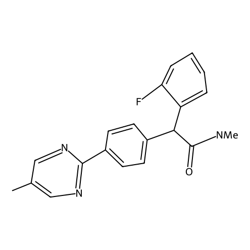 CNC(=O)C(c1ccc(-c2ncc(C)cn2)cc1)c1ccccc1F